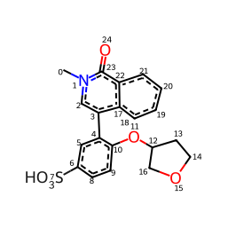 Cn1cc(-c2cc(S(=O)(=O)O)ccc2OC2CCOC2)c2ccccc2c1=O